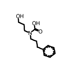 O=C(O)N(CCCO)CCCc1ccccc1